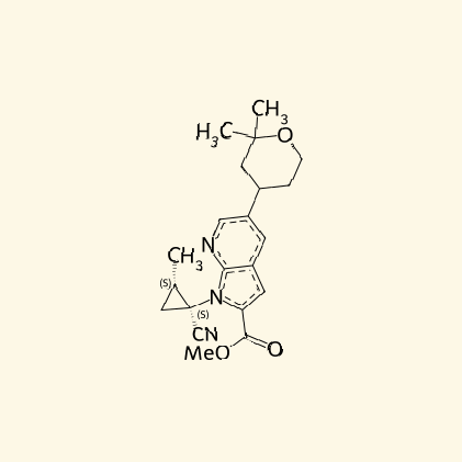 COC(=O)c1cc2cc(C3CCOC(C)(C)C3)cnc2n1[C@@]1(C#N)C[C@@H]1C